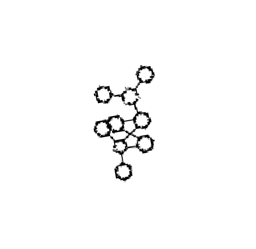 c1ccc(-c2nc(-c3ccccc3)nc(-c3cccc4c3-c3ccccc3C43c4ccccc4-c4c(-c5ccccc5)sc(-c5ccccc5)c43)n2)cc1